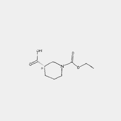 CCOC(=O)N1CCC[C@H](C(=O)O)C1